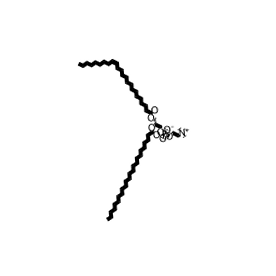 CCCCCCCC/C=C\CCCCCCCCCCCCCC(=O)OC[C@H](COP(=O)([O-])OCC[N+](C)(C)C)OC(=O)CCCCCCCCCCCCCCCCCCCCCCC